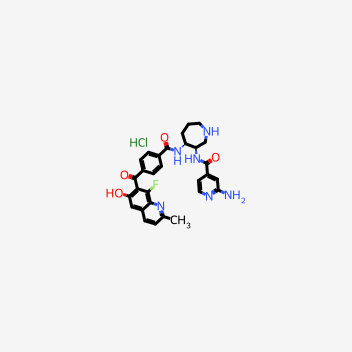 Cc1ccc2cc(O)c(C(=O)c3ccc(C(=O)N[C@@H]4CCCNC[C@H]4NC(=O)c4ccnc(N)c4)cc3)c(F)c2n1.Cl